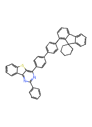 c1ccc(-c2nc(-c3ccc(-c4ccc(-c5cccc6c5C5(CCCCC5)c5ccccc5-6)cc4)cc3)c3sc4ccccc4c3n2)cc1